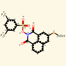 CCCCCCCCSc1cc2c3c(cccc3c1)C(=O)N(OS(=O)(=O)c1cc(C(F)(F)F)cc(C(F)(F)F)c1)C2=O